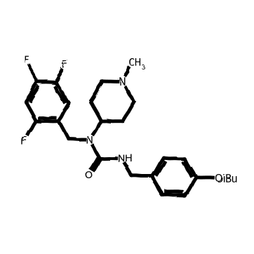 CC(C)COc1ccc(CNC(=O)N(Cc2cc(F)c(F)cc2F)C2CCN(C)CC2)cc1